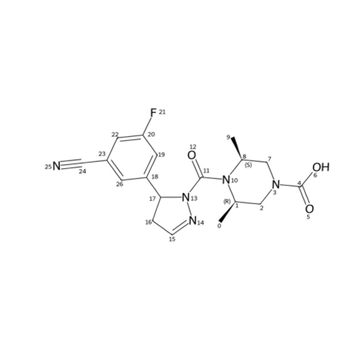 C[C@@H]1CN(C(=O)O)C[C@H](C)N1C(=O)N1N=CCC1c1cc(F)cc(C#N)c1